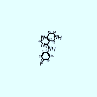 Fc1ccc(Nc2ncnc3c2CNCC3)cc1